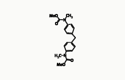 COC(=O)N(C)c1ccc(Cc2ccc(N(C)C(=O)OC)cc2)cc1